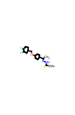 CSC(=S)N/N=C(\C)c1ccc(OCc2ccc(F)c(F)c2)cc1